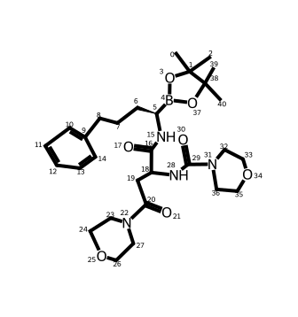 CC1(C)OB([C@H](CCCc2ccccc2)NC(=O)C(CC(=O)N2CCOCC2)NC(=O)N2CCOCC2)OC1(C)C